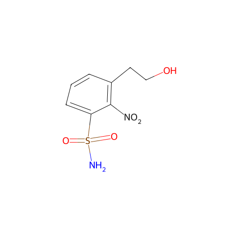 NS(=O)(=O)c1cccc(CCO)c1[N+](=O)[O-]